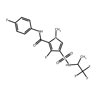 CC(NS(=O)(=O)c1cn(C)c(C(=O)Nc2ccc(F)cc2)c1F)C(F)(F)F